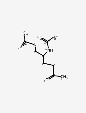 CC(=O)CCC(CNC(=S)S)NC(=S)S